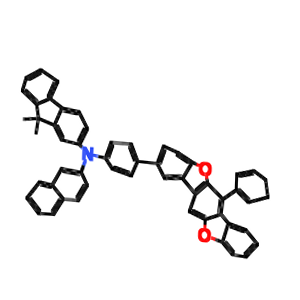 CC1(C)c2ccccc2-c2ccc(N(c3ccc(-c4ccc5oc6c(C7=CCCC=C7)c7c(cc6c5c4)oc4ccccc47)cc3)c3ccc4ccccc4c3)cc21